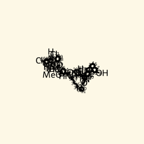 C#Cc1cccc2cc(O)cc(-c3ncc4c(N5C[C@H]6CC[C@@H](C5)N6)nc(OC[C@@H]5CCCN5CCCCCCNC(=O)c5ccc(NC(=O)[C@@H]6N[C@@H](CC(C)(C)C)[C@@]7(CNc8cc(Cl)ccc87)[C@H]6c6cccc(Cl)c6F)c(OC)c5)nc4c3F)c12